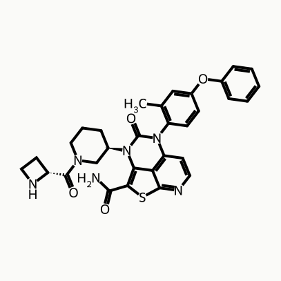 Cc1cc(Oc2ccccc2)ccc1N1C(=O)N([C@@H]2CCCN(C(=O)[C@H]3CCN3)C2)c2c(C(N)=O)sc3nccc1c23